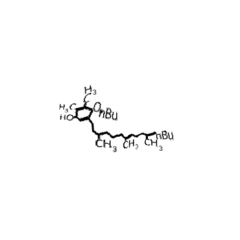 CCCC/C=C(\C)CC/C=C(\C)CCCC(C)CCC1=CC(O)C(C)=C(C)C1OCCCC